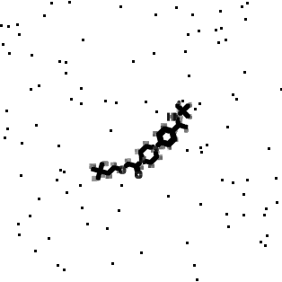 CC(NC(C)(C)C)c1ccc(N2CCN(C(=O)COCCC(C)(C)C)CC2)cc1